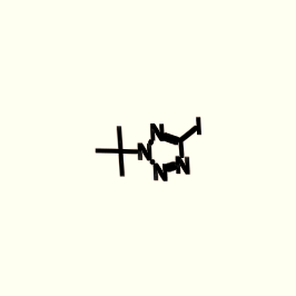 CC(C)(C)n1nnc(I)n1